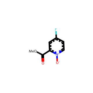 COC(=O)c1cc(F)cc[n+]1[O-]